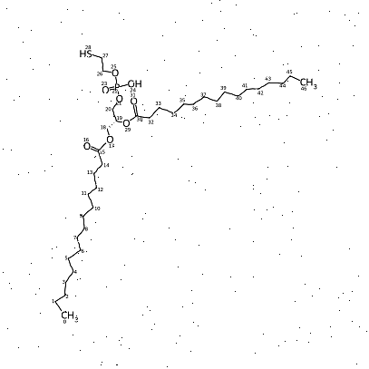 CCCCCCCCCCCCCCCC(=O)OC[C@H](COP(=O)(O)OCCS)OC(=O)CCCCCCCCCCCCCCC